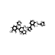 C[C@H](Oc1nccc(-c2cnc([C@@H]3CC[C@@H]4CC(c5c(-n6cnnn6)ccc(Cl)c5F)=CC(=O)N43)[nH]2)c1F)c1nnco1